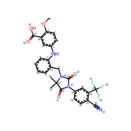 COc1ccc(Nc2ccccc2CN2C(=O)N(c3ccc(C#N)c(C(F)(F)F)c3)C(=O)C2(C)C)cc1C(=O)O